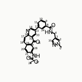 Cn1cc(CNC(=O)c2cccc(-c3cnc4ccc5ccc(NS(C)(=O)=O)cc5c(=O)c4c3)c2)cn1